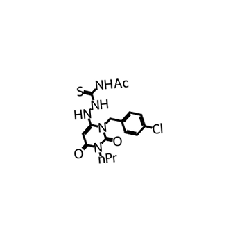 CCCn1c(=O)cc(NNC(=S)NC(C)=O)n(Cc2ccc(Cl)cc2)c1=O